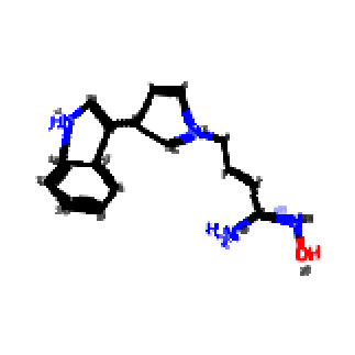 N/C(CCCN1CCC(c2c[nH]c3ccccc23)C1)=N\O